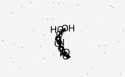 CN(C(=O)OC(C)(C)C)c1ccc(-c2nc3cc(OC[C@@H](O)CO)ccc3o2)cc1